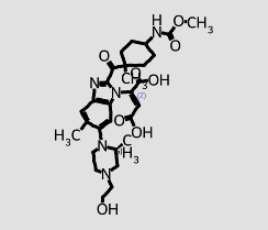 COC(=O)NC1CCC(C)(C(=O)c2nc3cc(C)c(N4CCN(CCO)C[C@@H]4C)cc3n2/C(=C\C(=O)O)C(=O)O)CC1